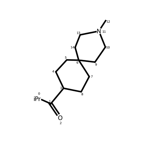 CC(C)C(=O)C1CCC2(CC1)CCN(C)CC2